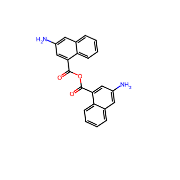 Nc1cc(C(=O)OC(=O)c2cc(N)cc3ccccc23)c2ccccc2c1